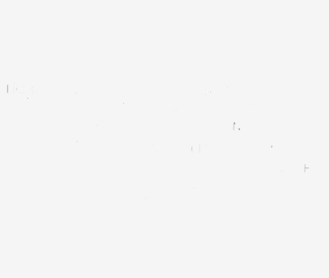 O=C(O)c1ccc2c(c1)CCCC(c1cccc(Cl)c1)=C2c1ccc(C=C2CCN(CCCF)C2)cc1